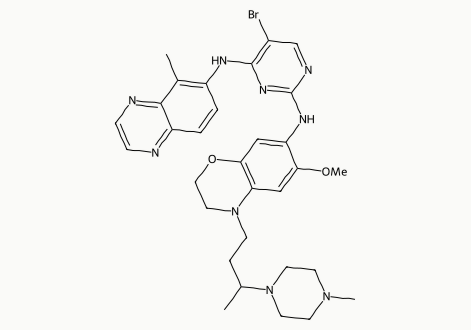 COc1cc2c(cc1Nc1ncc(Br)c(Nc3ccc4nccnc4c3C)n1)OCCN2CCC(C)N1CCN(C)CC1